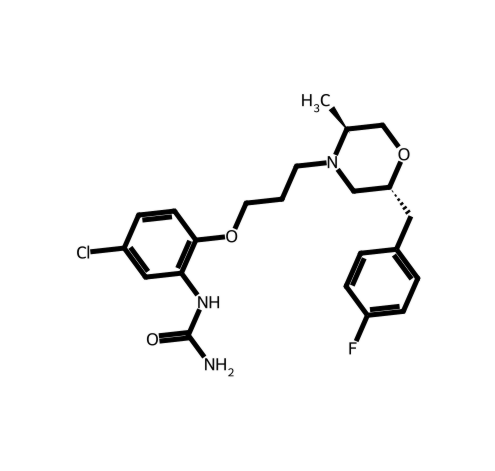 C[C@H]1CO[C@H](Cc2ccc(F)cc2)CN1CCCOc1ccc(Cl)cc1NC(N)=O